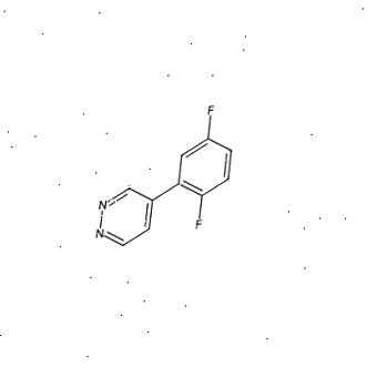 Fc1ccc(F)c(-c2[c]nncc2)c1